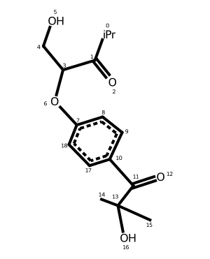 CC(C)C(=O)C(CO)Oc1ccc(C(=O)C(C)(C)O)cc1